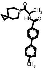 Cc1ccc(-c2ccc(C(=O)NC(C)C(=O)N3CCC4(CC3)CC4)cc2)cc1